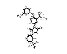 CC(C)c1cc(N2C(=O)CN(c3cncc(C(F)(F)F)c3)C2=O)ccc1Oc1ccnc(N)n1